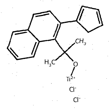 CC(C)([O][Ti+2])c1c(C2=CC=CC2)ccc2ccccc12.[Cl-].[Cl-]